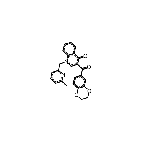 Cc1cccc(Cn2cc(C(=O)c3ccc4c(c3)OCCO4)c(=O)c3ccccc32)n1